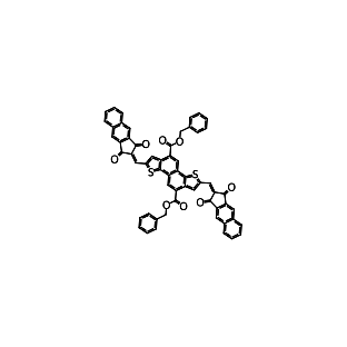 O=C1C(=Cc2cc3c(C(=O)OCc4ccccc4)cc4c(cc(C(=O)OCc5ccccc5)c5cc(C=C6C(=O)c7cc8ccccc8cc7C6=O)sc54)c3s2)C(=O)c2cc3ccccc3cc21